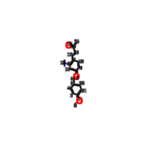 COc1ccc(COc2ccc(/C=C/C(C)=O)c(I)c2)cc1